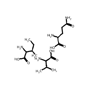 CC(C)C(N)C(=O)O.CCC(C)C(N)C(=O)O.NC(=O)CCC(N)C(=O)O